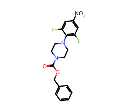 O=C(OCc1ccccc1)N1CCN(c2c(F)cc([N+](=O)[O-])cc2F)CC1